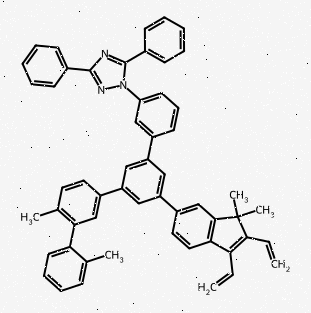 C=CC1=C(C=C)C(C)(C)c2cc(-c3cc(-c4cccc(-n5nc(-c6ccccc6)nc5-c5ccccc5)c4)cc(-c4ccc(C)c(-c5ccccc5C)c4)c3)ccc21